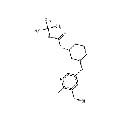 CC(C)(C)NC(=O)O[C@@H]1CCCN(Cc2cnc(Cl)c(CO)c2)C1